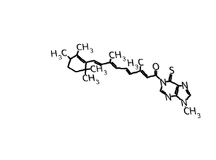 CC1=C(/C=C/C(C)=C/C=C/C(C)=C/C(=O)n2cnc3c(ncn3C)c2=S)C(C)(C)CCC1C